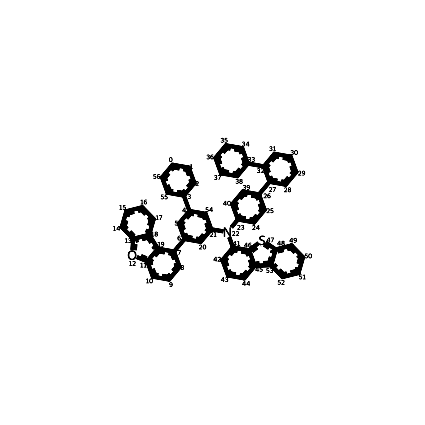 c1ccc(-c2cc(-c3cccc4oc5ccccc5c34)cc(N(c3ccc(-c4ccccc4-c4ccccc4)cc3)c3cccc4c3sc3ccccc34)c2)cc1